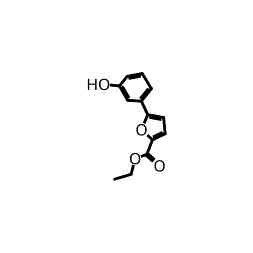 CCOC(=O)c1ccc(-c2cccc(O)c2)o1